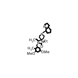 C/C=C1\N(Cc2cc(OC)cc(OC)c2C)C(=O)N(CC)C12CCN(Cc1cccc3cccnc13)CC2